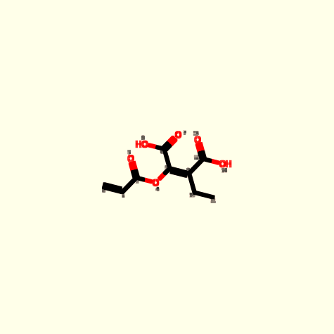 C=CC(=O)O/C(C(=O)O)=C(\CC)C(=O)O